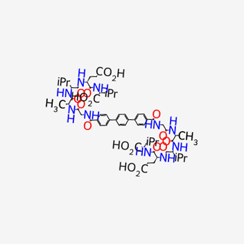 CC(C)[C@H](NC(=O)[C@H](CCC(=O)O)NC(=O)[C@@H](NC(=O)[C@H](C)NC(=O)CNC(=O)c1ccc(-c2ccc(-c3ccc(C(=O)NCC(=O)N[C@@H](C)C(=O)N[C@H](C(=O)N[C@@H](CCC(=O)O)C(=O)N[C@H](C(=O)O)C(C)C)C(C)C)cc3)cc2)cc1)C(C)C)C(=O)O